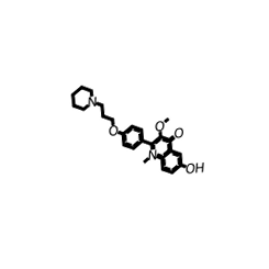 COc1c(-c2ccc(OCCCN3CCCCC3)cc2)n(C)c2ccc(O)cc2c1=O